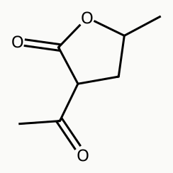 CC(=O)C1CC(C)OC1=O